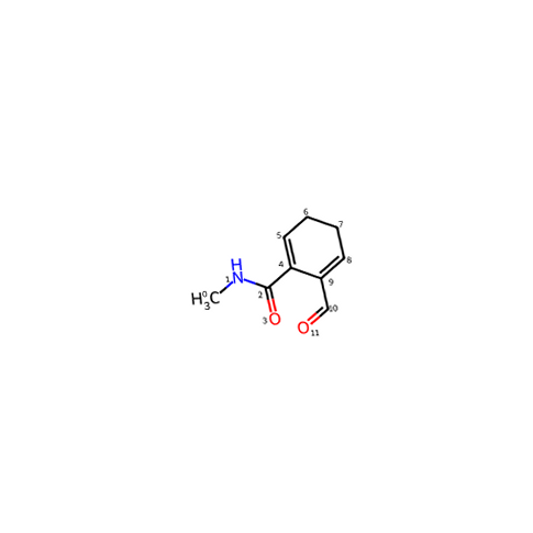 CNC(=O)C1=CCCC=C1C=O